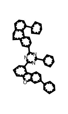 c1ccc(-c2ccc3c(c2)oc2cccc(-c4nc(-c5ccccc5)nc(-c5ccc6c(ccc7cccc(-c8ccccc8)c76)c5)n4)c23)cc1